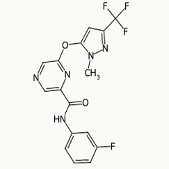 Cn1nc(C(F)(F)F)cc1Oc1cncc(C(=O)Nc2cccc(F)c2)n1